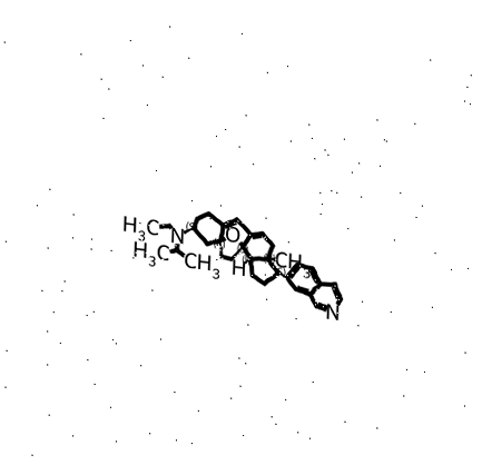 CCN(C(C)C)[C@H]1CCC2=CC3=CC[C@]4(C)[C@@H](c5ccc6ccncc6c5)CC[C@H]4[C@@]34CC[C@]2(C1)O4